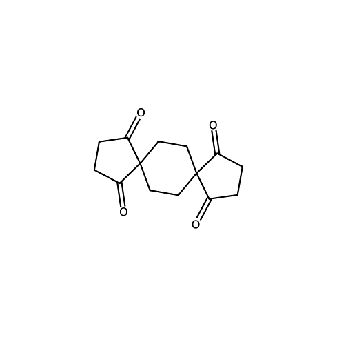 O=C1CCC(=O)C12CCC1(CC2)C(=O)CCC1=O